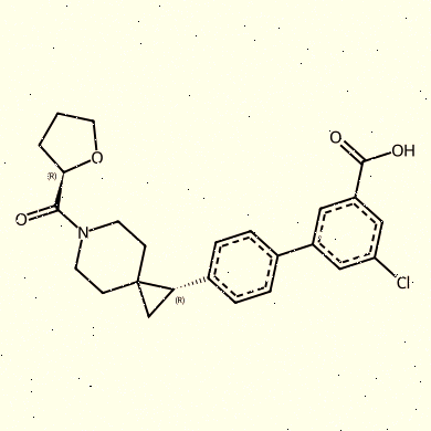 O=C(O)c1cc(Cl)cc(-c2ccc([C@@H]3CC34CCN(C(=O)[C@H]3CCCO3)CC4)cc2)c1